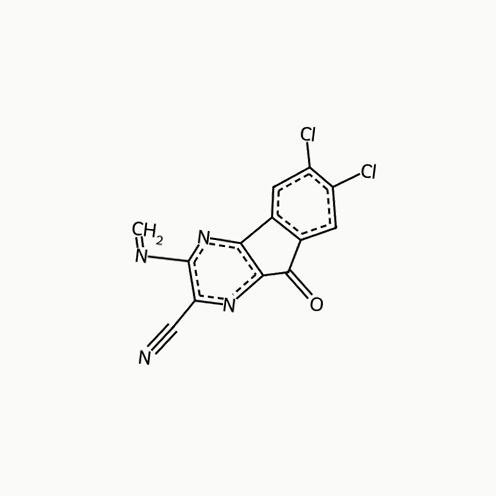 C=Nc1nc2c(nc1C#N)C(=O)c1cc(Cl)c(Cl)cc1-2